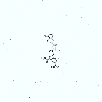 CCC(C)(C)N(CC(=O)NCc1cccc(Cl)c1F)C(=O)Cn1nc(C(N)=O)c2cc(C(=O)O)ccc21